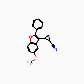 COc1ccc2oc(-c3ccccc3)c(C3CC3C#N)c2c1